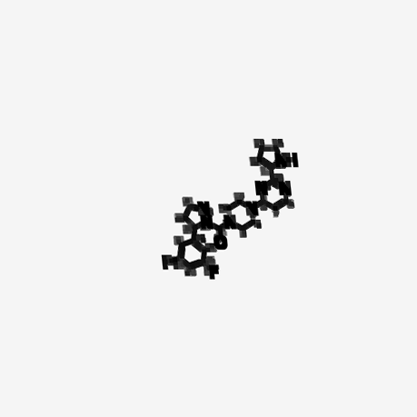 O=C(N1CCN(c2ccnc(-c3ccc[nH]3)n2)CC1)N1N=CCC1c1cc(F)cc(F)c1